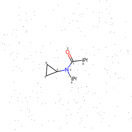 CC(C)C(=O)N(C(C)C)C1CC1